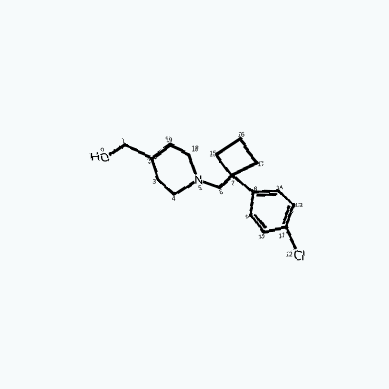 OCC1CCN(CC2(c3ccc(Cl)cc3)CCC2)CC1